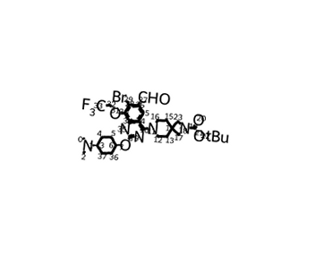 CN(C)[C@H]1CC[C@@H](Oc2nc(N3CCC4(CC3)CN(C(=O)OC(C)(C)C)C4)c3cc(C=O)c(Br)c(OCC(F)(F)F)c3n2)CC1